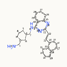 NCC1CCCC(CNc2nc(C=Cc3cccc4ccccc34)nc3ccccc23)C1